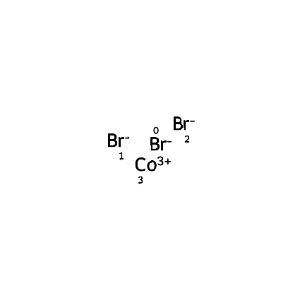 [Br-].[Br-].[Br-].[Co+3]